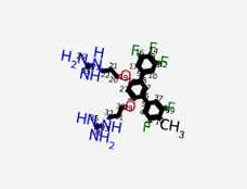 Cc1c(F)cc(-c2cc(-c3cc(F)c(F)c(F)c3)c(OCCCNC(=N)N)cc2OCCCNC(=N)N)cc1F